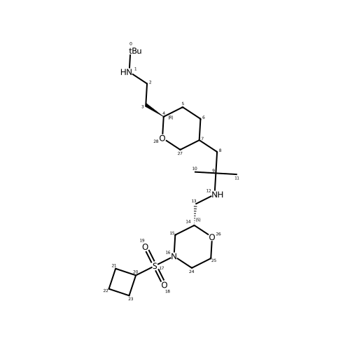 CC(C)(C)NCC[C@H]1CCC(CC(C)(C)NC[C@H]2CN(S(=O)(=O)C3CCC3)CCO2)CO1